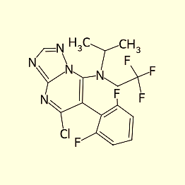 CC(C)N(CC(F)(F)F)c1c(-c2c(F)cccc2F)c(Cl)nc2ncnn12